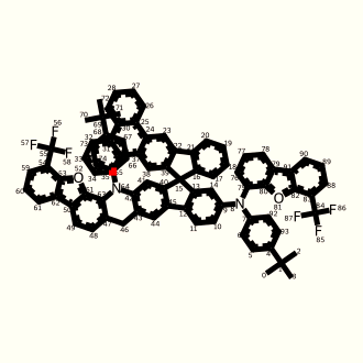 CC(C)(C)c1ccc(N(c2ccc3c(c2)C2(c4ccccc4-c4cc5c6ccccc6c6ccccc6c5cc42)c2cc4c(cc2-3)Cc2ccc3c(oc5c(C(F)(F)F)cccc53)c2N4c2ccc(C(C)(C)C)cc2)c2cccc3c2oc2c(C(F)(F)F)cccc23)cc1